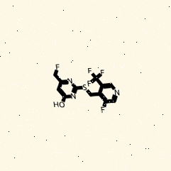 Oc1cc(CF)nc(SCc2c(F)cncc2C(F)(F)F)n1